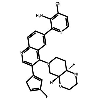 N#Cc1ccnc(-c2ccc3ncc(C4=CC(F)=CC4)c(N4CC[C@H]5NCCO[C@@H]5C4)c3c2)c1N